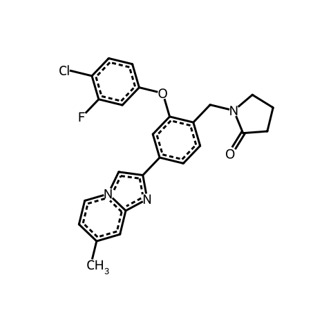 Cc1ccn2cc(-c3ccc(CN4CCCC4=O)c(Oc4ccc(Cl)c(F)c4)c3)nc2c1